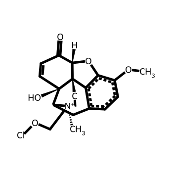 COc1ccc2c3c1O[C@H]1C(=O)C=C[C@@]4(O)C(C2)[N@+](C)(COCl)CC[C@]314